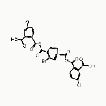 O=C(OC(=O)c1ccc(Cl)cc1C(=O)O)c1ccc(C(=O)OC(=O)c2ccc(Cl)cc2C(=O)O)c(Br)c1